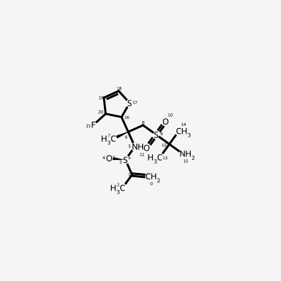 C=C(C)[S@@+]([O-])N[C@@](C)(CS(=O)(=O)C(C)(C)N)C1SC=CC1F